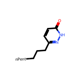 CCCCCCCCc1ccc(=O)[nH]n1